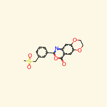 CS(=O)(=O)Cc1cccc(-c2nc3cc4c(cc3c(=O)o2)OCCO4)c1